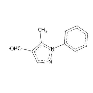 Cc1c([C]=O)cnn1-c1ccccc1